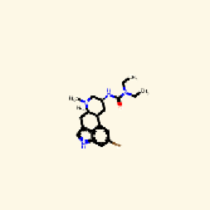 CCN(CC)C(=O)N[C@H]1CC2c3cc(Br)cc4[nH]cc(c34)C[C@H]2N(C)C1